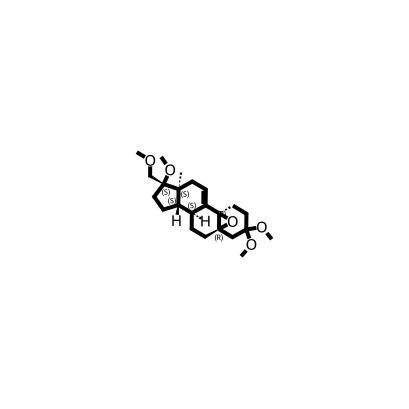 COC[C@]1(OC)CC[C@H]2[C@@H]3CC[C@@]45CC(OC)(OC)CC[C@@]4(O5)C3=CC[C@@]21C